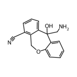 N#Cc1cccc2c1COc1ccccc1C2(O)CN